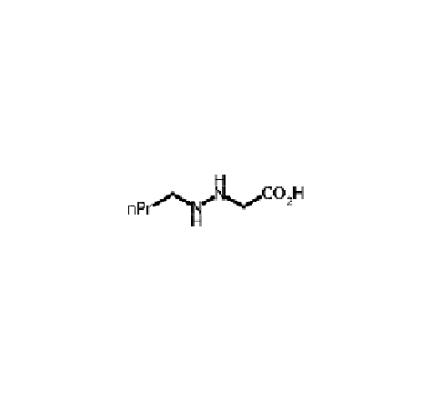 CCCCNNCC(=O)O